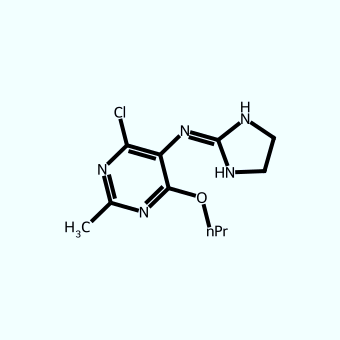 CCCOc1nc(C)nc(Cl)c1N=C1NCCN1